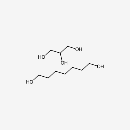 OCC(O)CO.OCCCCCCCO